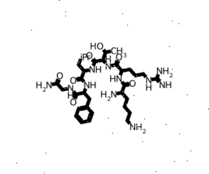 CC(C)CC(NC(=O)C(NC(=O)C(CCCNC(=N)N)NC(=O)C(N)CCCCN)C(C)O)C(=O)NC(Cc1ccccc1)C(=O)NCC(N)=O